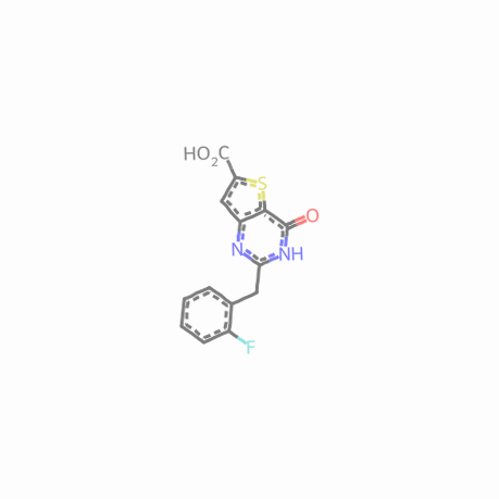 O=C(O)c1cc2nc(Cc3ccccc3F)[nH]c(=O)c2s1